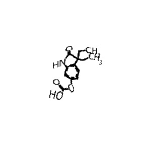 CCC1(CC)C(=O)Nc2cc(OC(=O)O)ccc21